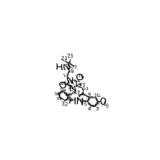 COc1ccc2[nH]c3c(c2c1)C[C@@]1(C)C(=O)N(CCNC(C)(C)C)C(=O)N1[C@@H]3c1ccccc1